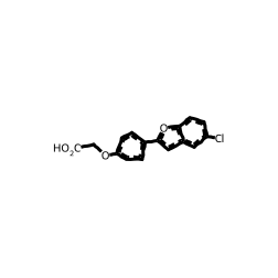 O=C(O)COc1ccc(-c2cc3cc(Cl)ccc3o2)cc1